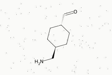 NC[C@H]1CC[C@H](C=O)CC1